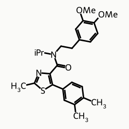 COc1ccc(CCN(C(=O)c2nc(C)sc2-c2ccc(C)c(C)c2)C(C)C)cc1OC